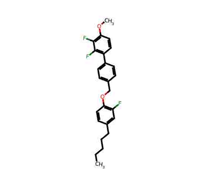 CCCCCc1ccc(OCc2ccc(-c3ccc(OC)c(F)c3F)cc2)c(F)c1